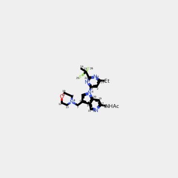 CCc1cc(-n2cc(CN3CCOCC3)c3cnc(NC(C)=O)cc32)nc(C(C)(F)F)n1